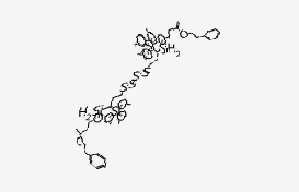 CO[Si](OC)(OC)C(CCSSSSCCC([SiH2]OCCC(C)OCCc1ccccc1)[Si](OC)(OC)OC)[SiH2]OCCC(C)OCCc1ccccc1